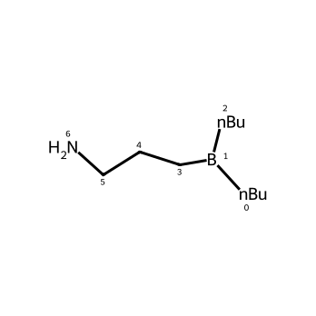 CCCCB(CCCC)CCCN